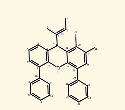 C/C=C(\C)B1c2cccc(-c3ccccc3)c2Oc2c(-c3ccccc3)cc(C)c(I)c21